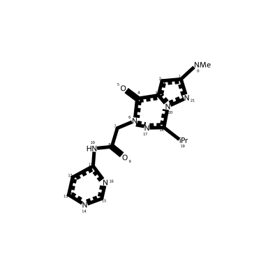 CNc1cc2c(=O)n(CC(=O)Nc3ccncn3)nc(C(C)C)n2n1